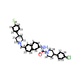 O=C(Nc1ccc2cc(CN3CCC(c4ccc(F)cc4)CC3)ccc2c1)N1CCC(c2ccc(Cl)cc2)CC1